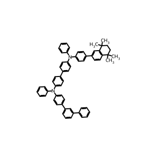 CC1(C)CCC(C)(C)c2cc(-c3ccc(N(c4ccccc4)c4ccc(-c5ccc(N(c6ccccc6)c6ccc(-c7cccc(-c8ccccc8)c7)cc6)cc5)cc4)cc3)ccc21